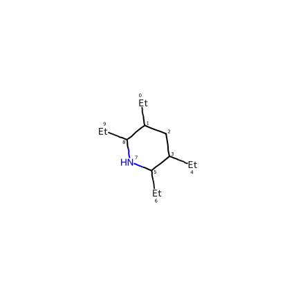 CCC1CC(CC)C(CC)NC1CC